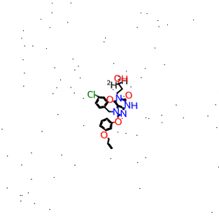 [2H]C([2H])(O)CCn1c(=O)[nH]c2nc(Oc3cccc(OCC=C)c3)n(Cc3ccc(Cl)cc3)c2c1=O